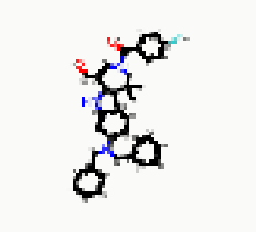 CC1(C)CN(C(=O)c2ccc(F)cc2)C=C(C=O)C2Nc3cc(N(Cc4ccccc4)Cc4ccccc4)ccc3C21